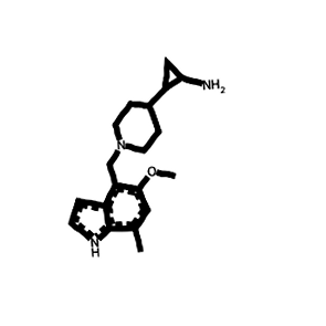 COc1cc(C)c2[nH]ccc2c1CN1CCC(C2CC2N)CC1